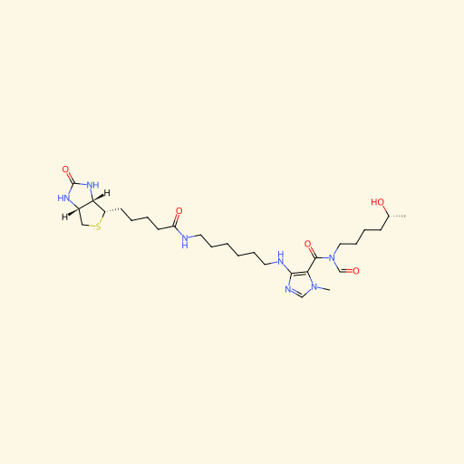 C[C@@H](O)CCCCN(C=O)C(=O)c1c(NCCCCCCNC(=O)CCCC[C@@H]2SC[C@@H]3NC(=O)N[C@@H]32)ncn1C